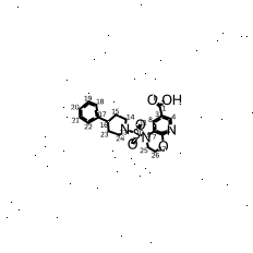 O=C(O)c1cnc2c(c1)N(S(=O)(=O)N1CCC(c3ccccc3)CC1)CCO2